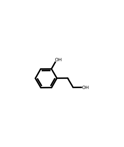 OC[CH]c1ccccc1O